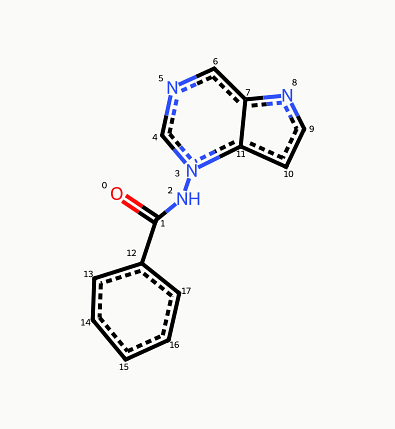 O=C(Nn1cncc2nccc1-2)c1ccccc1